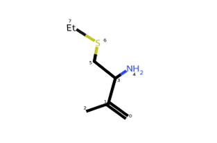 C=C(C)C(N)CSCC